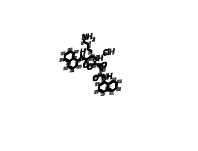 Cl.NCCCC[C@H](NC(=O)[C@H]1O[C@@H]1C(=O)Nc1cccc2ccccc12)C(=O)Nc1cccc2ccccc12